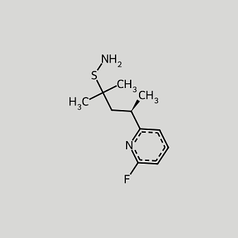 C[C@H](CC(C)(C)SN)c1cccc(F)n1